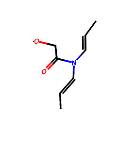 CC=CN(C=CC)C(=O)C[O]